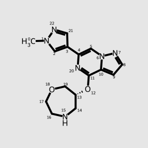 Cn1cc(-c2cn3nccc3c(O[C@@H]3CNCCOC3)n2)cn1